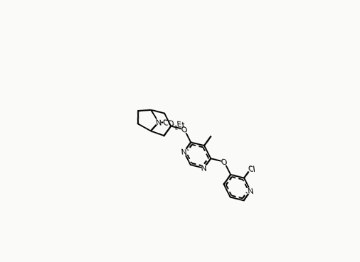 CCOC(=O)N1C2CCC1CC(Oc1ncnc(Oc3cccnc3Cl)c1C)C2